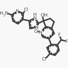 Nc1ccc(-c2cnc(C3(O)CCc4cc(-c5cc(Cl)ccc5C(F)F)c[n+]([O-])c43)[nH]2)c(Cl)n1